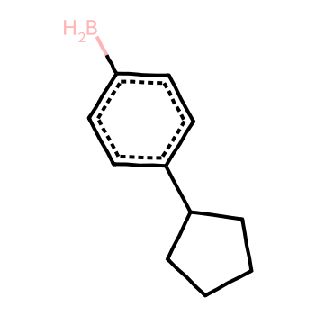 Bc1ccc(C2CCCC2)cc1